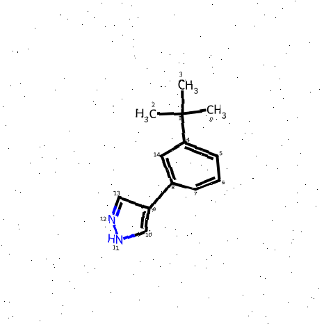 CC(C)(C)c1cccc(-c2[c][nH]nc2)c1